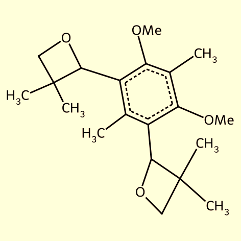 COc1c(C)c(OC)c(C2OCC2(C)C)c(C)c1C1OCC1(C)C